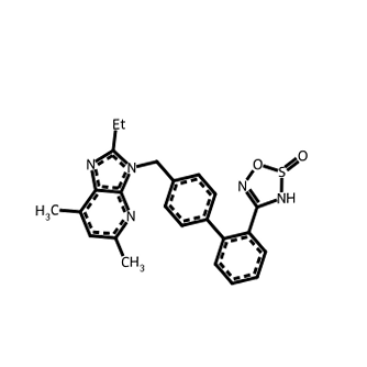 CCc1nc2c(C)cc(C)nc2n1Cc1ccc(-c2ccccc2C2=NOS(=O)N2)cc1